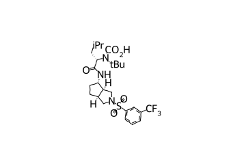 CC(C)C[C@@H](C(=O)N[C@H]1CC[C@@H]2CN(S(=O)(=O)c3cccc(C(F)(F)F)c3)C[C@@H]21)N(C(=O)O)C(C)(C)C